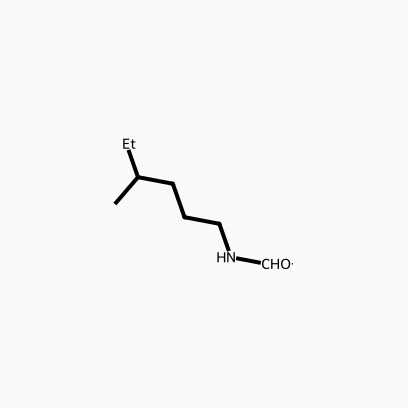 CCC(C)CCCN[C]=O